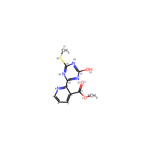 COC(=O)c1cccnc1-c1nc(O)nc(SC)n1